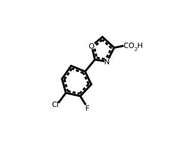 O=C(O)c1coc(-c2ccc(Cl)c(F)c2)n1